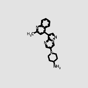 Cc1cc(-c2cnn3cc(N4CCC(N)CC4)cnc23)c2ccccc2n1